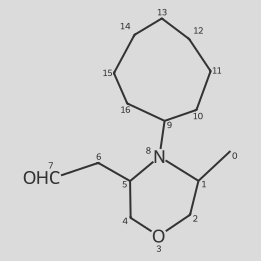 CC1COCC(CC=O)N1C1CCCCCCC1